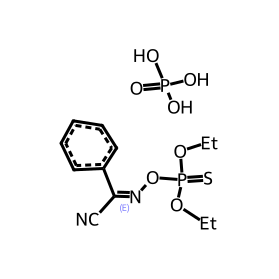 CCOP(=S)(OCC)O/N=C(/C#N)c1ccccc1.O=P(O)(O)O